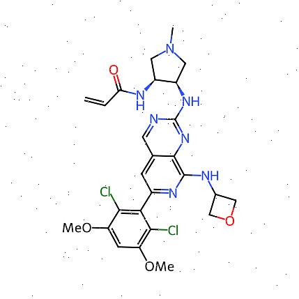 C=CC(=O)N[C@H]1CN(C)C[C@H]1Nc1ncc2cc(-c3c(Cl)c(OC)cc(OC)c3Cl)nc(NC3COC3)c2n1